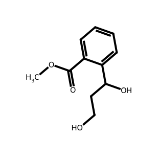 COC(=O)c1ccccc1C(O)CCO